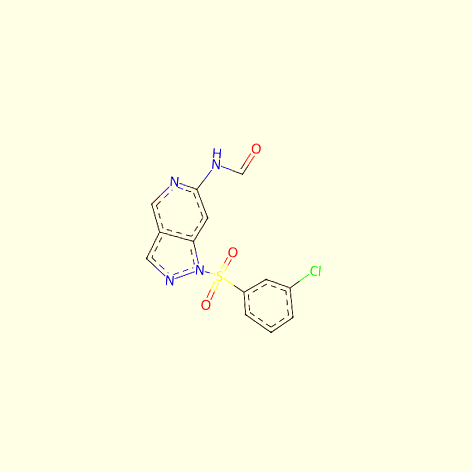 O=CNc1cc2c(cn1)cnn2S(=O)(=O)c1cccc(Cl)c1